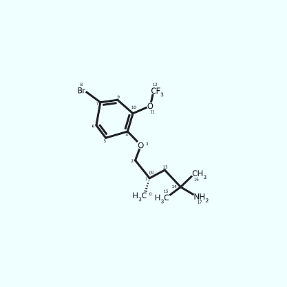 C[C@H](COc1ccc(Br)cc1OC(F)(F)F)CC(C)(C)N